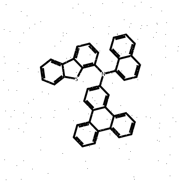 c1ccc2c(N(c3ccc4c5ccccc5c5ccccc5c4c3)c3cccc4c3sc3ccccc34)cccc2c1